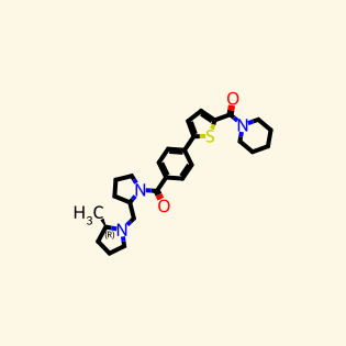 C[C@@H]1CCCN1CC1CCCN1C(=O)c1ccc(-c2ccc(C(=O)N3CCCCC3)s2)cc1